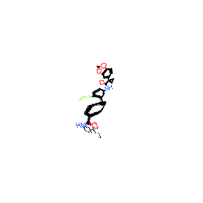 CNC(=O)c1ccc(-c2cc(NC(=O)C3(c4ccc5c(c4)OCO5)CC3)ccc2F)cc1